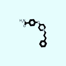 NC(=O)c1ccc(OC2CCN(CCCc3ccccc3)CC2)cc1